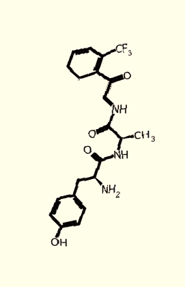 C[C@@H](NC(=O)[C@@H](N)Cc1ccc(O)cc1)C(=O)NCC(=O)C1=C(C(F)(F)F)C=CC[CH]1